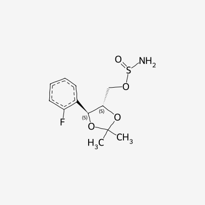 CC1(C)O[C@@H](COS(N)=O)[C@H](c2ccccc2F)O1